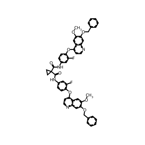 COc1cc2c(Oc3ccc(NC(=O)C4(C(=O)Nc5ccc(Oc6ccnc7cc(OCc8ccccc8)c(OC)cc67)c(F)c5)CC4)cc3F)ccnc2cc1OCc1ccccc1